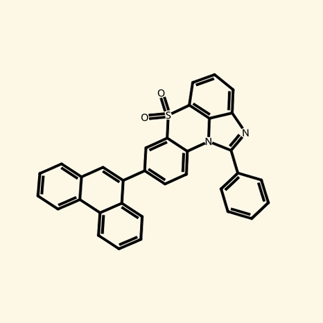 O=S1(=O)c2cc(-c3cc4ccccc4c4ccccc34)ccc2-n2c(-c3ccccc3)nc3cccc1c32